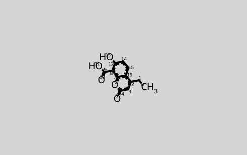 CCc1cc(=O)oc2c(C(=O)O)c(O)ccc12